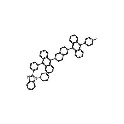 Cc1ccc(-c2c3ccccc3c(-c3ccc4cc(-c5c6ccccc6c(-c6cccc(-c7nc8ccccc8n7C7C=CC=CC7)c6)c6ccccc56)ccc4c3)c3ccccc23)cc1